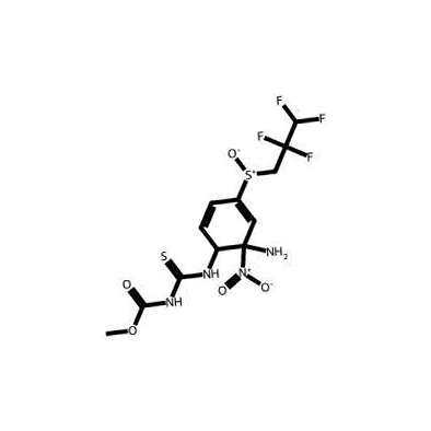 COC(=O)NC(=S)NC1C=CC([S+]([O-])CC(F)(F)C(F)F)=CC1(N)[N+](=O)[O-]